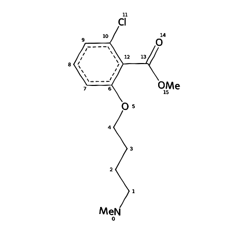 CNCCCCOc1cccc(Cl)c1C(=O)OC